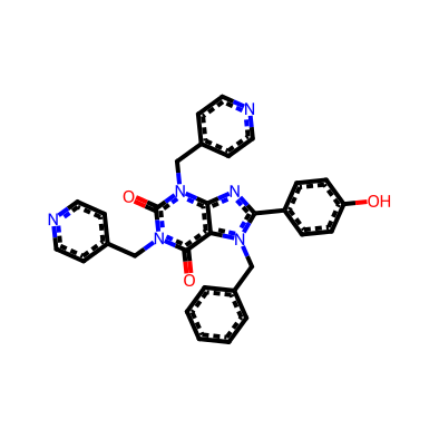 O=c1c2c(nc(-c3ccc(O)cc3)n2Cc2ccccc2)n(Cc2ccncc2)c(=O)n1Cc1ccncc1